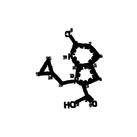 O=C(O)c1cc2ccc(Cl)nc2n1CC1CC1